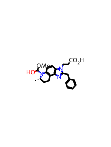 COC(O)N1c2ccc3c(nc(Cc4ccccc4)n3CCC(=O)O)c2CC[C@@H]1C